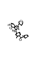 Cc1cc(Nc2nn(C3CCCOC3)c3cc[nH]c(=O)c23)ccc1C(=O)N1CCCC1